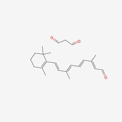 CC(C=CC=C(C)C=CC1=C(C)CCCC1(C)C)=CC=O.O=CCC=O